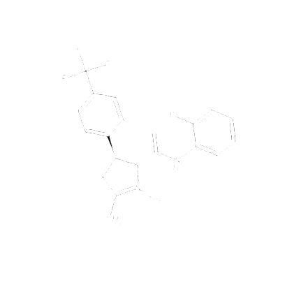 CC1=[N+]([O-])[C@@H](C(=O)Nc2ccccc2F)[C@H](c2ccc(C(F)(F)F)cc2)C1